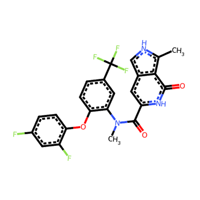 Cc1[nH]cc2cc(C(=O)N(C)c3cc(C(F)(F)F)ccc3Oc3ccc(F)cc3F)[nH]c(=O)c12